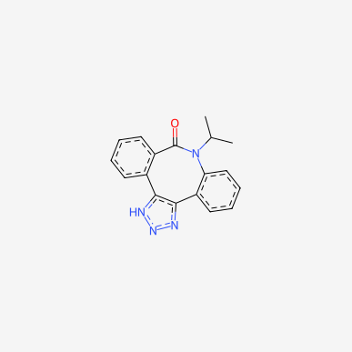 CC(C)N1C(=O)c2ccccc2-c2[nH]nnc2-c2ccccc21